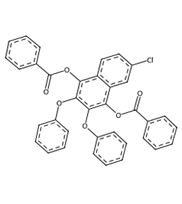 O=C(Oc1c(Oc2ccccc2)c(Oc2ccccc2)c(OC(=O)c2ccccc2)c2cc(Cl)ccc12)c1ccccc1